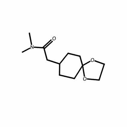 CN(C)C(=O)CC1CCC2(CC1)OCCO2